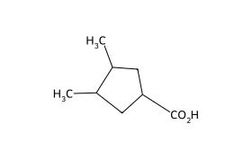 CC1CC(C(=O)O)CC1C